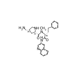 CN(C(=O)[C@@H]1C[C@H](CN)CN1)[C@H](CCc1ccccc1)C(=O)Nc1cnc2ccccc2c1